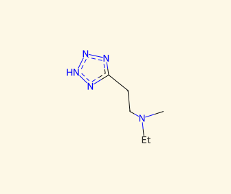 CCN(C)CCc1nn[nH]n1